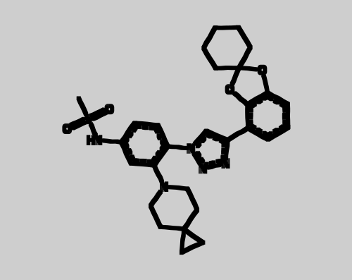 CS(=O)(=O)Nc1ccc(-n2cc(-c3cccc4c3OC3(CCCCC3)O4)nn2)c(N2CCC3(CC2)CC3)c1